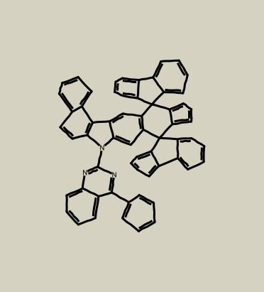 c1ccc(-c2nc(-n3c4cc5c(cc4c4c6ccccc6ccc43)C3(c4ccccc4-c4ccccc43)c3ccccc3C53c4ccccc4-c4ccccc43)nc3ccccc23)cc1